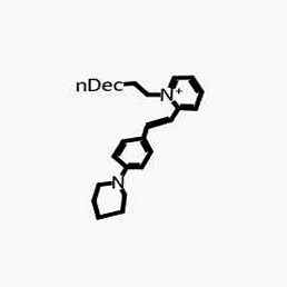 CCCCCCCCCCCC[n+]1ccccc1C=Cc1ccc(N2CCCCC2)cc1